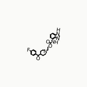 O=C(Nc1cccc2[nH]cnc12)OCCN1CCC(C(=O)c2ccc(F)cc2)CC1